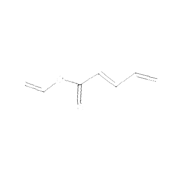 C=C/C=C/C(=O)OC=C